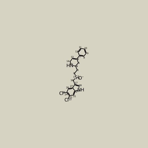 [O-][S+](CCC1CC(c2ccccc2)=CCN1)Cc1c[nH]c2cc(Cl)c(Cl)cc12